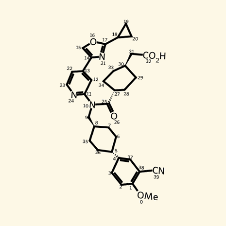 COc1ccc([C@H]2CC[C@H](CN(c3cc(-c4coc(C5CC5)n4)ccn3)C(=O)[C@H]3CC[C@H](CC(=O)O)CC3)CC2)cc1C#N